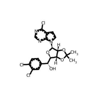 CC1(C)O[C@H]2[C@@H](O1)[C@H](n1ccc3c(Cl)ncnc31)O[C@@H]2[C@H](O)c1ccc(Cl)c(Cl)c1